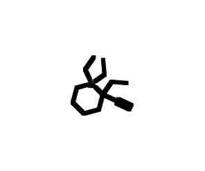 C#CC1(CC)CCCC[Si]1(CC)CC